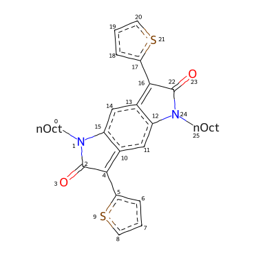 CCCCCCCCN1C(=O)C(c2cccs2)=c2cc3c(cc21)=C(c1cccs1)C(=O)N3CCCCCCCC